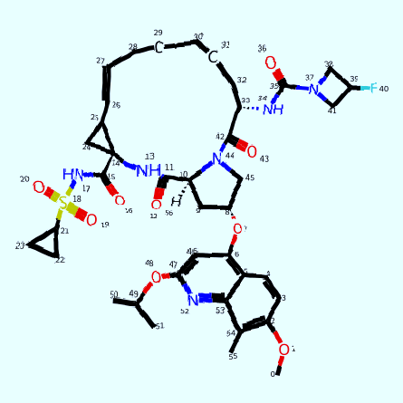 COc1ccc2c(O[C@@H]3C[C@H]4C(=O)N[C@]5(C(=O)NS(=O)(=O)C6CC6)CC5/C=C\CCCCC[C@H](NC(=O)N5CC(F)C5)C(=O)N4C3)cc(OC(C)C)nc2c1C